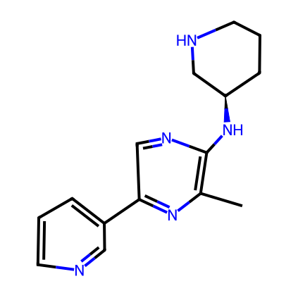 Cc1nc(-c2cccnc2)cnc1N[C@@H]1CCCNC1